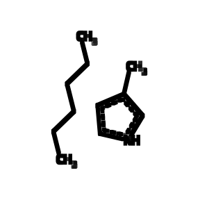 CCCCCC.Cc1cc[nH]c1